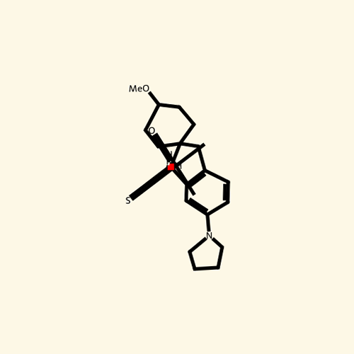 COC1CCC2(CC1)Cc1ccc(N3CCCC3)cc1C21NC(=S)NC1=O